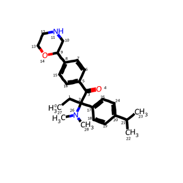 CCC(C(=O)c1ccc(C2CNCCO2)cc1)(c1ccc(C(C)C)cc1)N(C)C